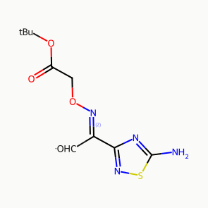 CC(C)(C)OC(=O)CO/N=C(\[C]=O)c1nsc(N)n1